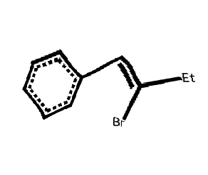 CCC(Br)=Cc1ccccc1